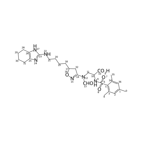 Cc1cc(C)c(S(=O)(=O)NC(CN(C=O)C2=NOC(CCCCNc3nc4c([nH]3)CCCC4)C2)C(=O)O)c(C)c1